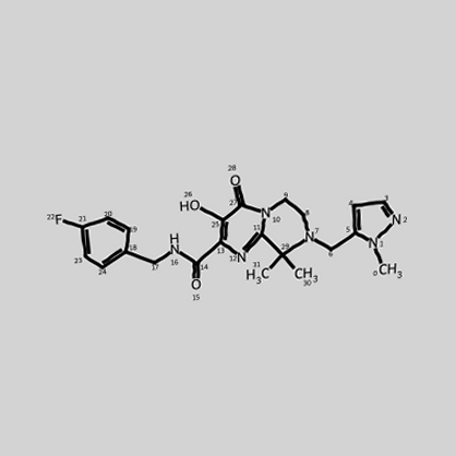 Cn1nccc1CN1CCn2c(nc(C(=O)NCc3ccc(F)cc3)c(O)c2=O)C1(C)C